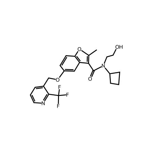 Cc1oc2ccc(OCc3cccnc3C(F)(F)F)cc2c1C(=O)N(CCO)C1CCC1